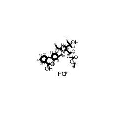 CCOC(=O)OC(=O)c1c(C(C)(C)O)nc(CC)n1Cc1ccc(-c2ccccc2C(=O)O)cc1.Cl